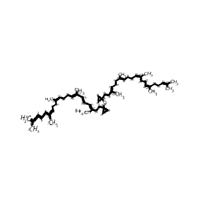 CC(C)=CCCC(C)=CCCC(C)=CCCC=C(C)CCC=C(C)CCC1(OC2(CCC(C)=CCCC(C)=CCCC=C(C)CCC=C(C)CCC=C(C)C)CC2)CC1